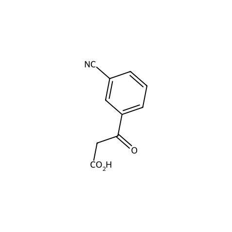 N#Cc1cccc(C(=O)CC(=O)O)c1